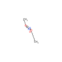 CCCCCCCCCCCCC(=O)Oc1cnc(-c2ccc(OCCCCCCC)cc2)nc1